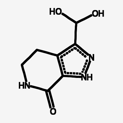 O=C1NCCc2c(C(O)O)n[nH]c21